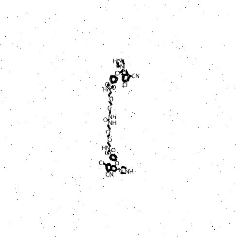 N#Cc1cc(Cl)cc2c1C[C@H](N1CCNCC1)[C@H]2Oc1ccc(S(=O)(=O)NCCOCCOCCNC(=O)NCCOCCOCCNS(=O)(=O)c2ccc(O[C@H]3c4cc(Cl)cc(C#N)c4C[C@@H]3N3CCNCC3)cc2)cc1